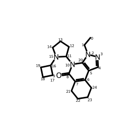 CCn1ncc2c3c(c(=O)n(C4CCCN4C4CCC4)c21)CCCC3